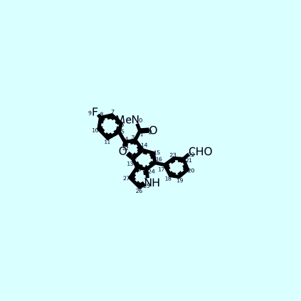 CNC(=O)c1c(-c2ccc(F)cc2)oc2c1cc(-c1cccc(C=O)c1)c1[nH]ccc12